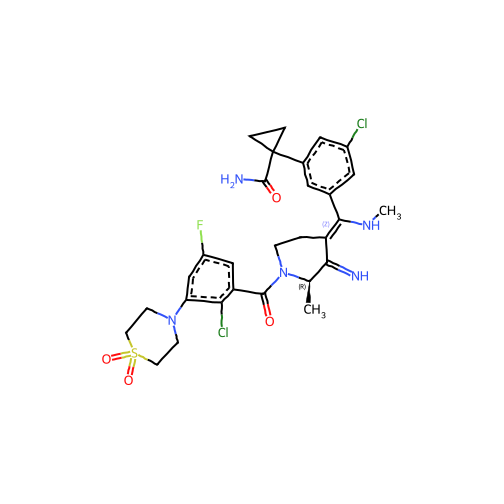 CN/C(=C1/CCN(C(=O)c2cc(F)cc(N3CCS(=O)(=O)CC3)c2Cl)[C@H](C)C1=N)c1cc(Cl)cc(C2(C(N)=O)CC2)c1